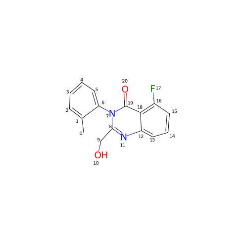 Cc1ccccc1-n1c(CO)nc2cccc(F)c2c1=O